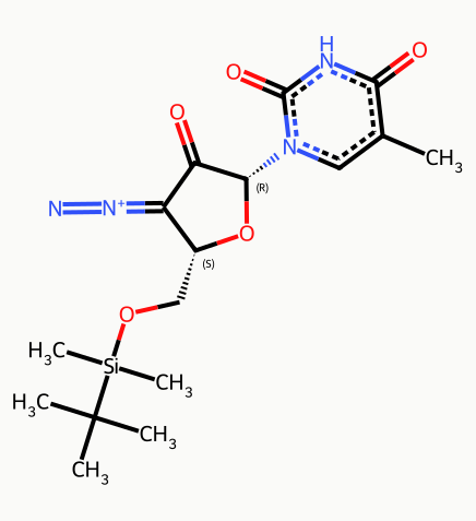 Cc1cn([C@@H]2O[C@H](CO[Si](C)(C)C(C)(C)C)C(=[N+]=[N-])C2=O)c(=O)[nH]c1=O